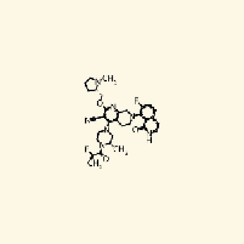 C=C(F)C(=O)N1CCN(c2c(C#N)c(OC[C@@H]3CCCN3C)nc3c2CCN(c2c(F)ccc4cc[nH]c(=O)c24)C3)C[C@@H]1C